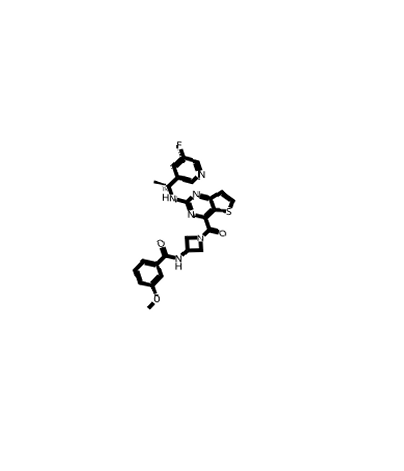 COc1cccc(C(=O)NC2CN(C(=O)c3nc(N[C@@H](C)c4cncc(F)c4)nc4ccsc34)C2)c1